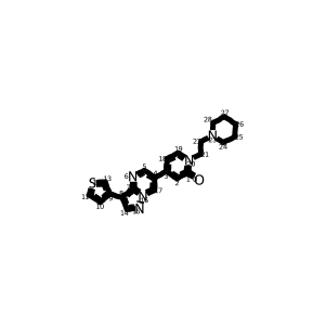 O=c1cc(-c2cnc3c(-c4ccsc4)cnn3c2)ccn1CCN1CCCCC1